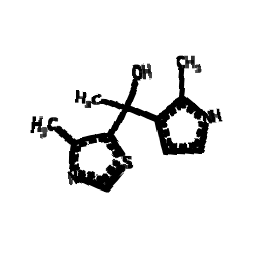 Cc1ncsc1C(C)(O)c1cc[nH]c1C